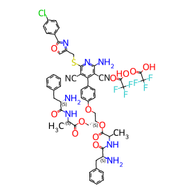 CC(NC(=O)[C@@H](N)Cc1ccccc1)C(=O)O[C@H](COC(=O)[C@H](C)NC(=O)[C@@H](N)Cc1ccccc1)COc1ccc(-c2c(C#N)c(N)nc(SCc3coc(-c4ccc(Cl)cc4)n3)c2C#N)cc1.O=C(O)C(F)(F)F.O=C(O)C(F)(F)F